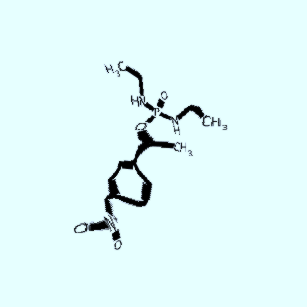 CCNP(=O)(NCC)OC(C)c1ccc([N+](=O)[O-])cc1